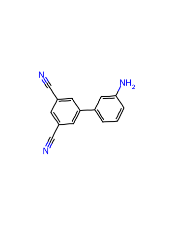 N#Cc1cc(C#N)cc(-c2cccc(N)c2)c1